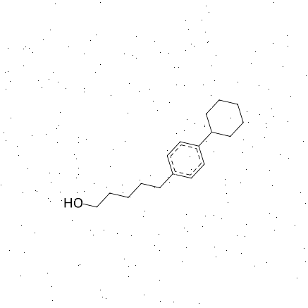 OCCCCCc1ccc(C2CCCCC2)cc1